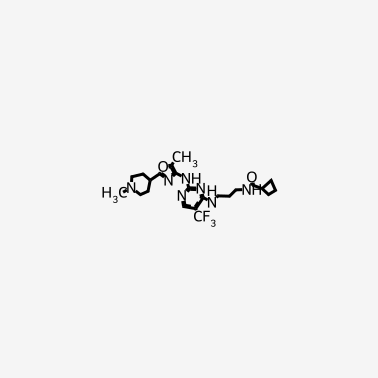 Cc1oc(C2CCN(C)CC2)nc1Nc1ncc(C(F)(F)F)c(NCCCNC(=O)C2CCC2)n1